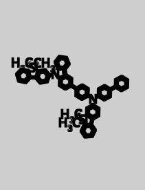 C[Si]1(C)c2ccccc2-c2ccc(N(c3ccc(-c4ccccc4)cc3)c3ccc(-c4ccc5c(c4)c4ccccc4n5-c4ccc5c(c4)[Si](C)(C)c4ccccc4-5)cc3)cc21